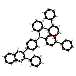 c1ccc(-c2ccc(N(c3ccc(-c4nc5ccccc5nc4-c4ccccc4)cc3)c3ccccc3-c3ccccc3-c3ccccc3)cc2)cc1